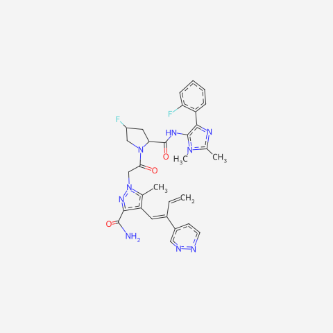 C=C/C(=C\c1c(C(N)=O)nn(CC(=O)N2CC(F)CC2C(=O)Nc2c(-c3ccccc3F)nc(C)n2C)c1C)c1ccnnc1